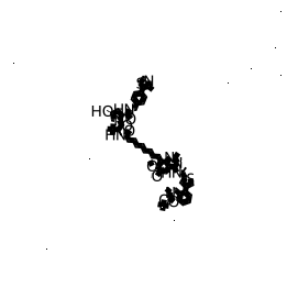 COc1cc2c(N[C@@H](C)c3cc(-c4ccccc4CN(C)C(=O)OC(C)(C)C)cs3)nc(C)nc2c(CCCCCCCCC(=O)N[C@H](C(=O)N2C[C@H](O)C[C@H]2C(=O)NCc2ccc(-c3scnc3C)cc2)C(C)(C)C)c1OC